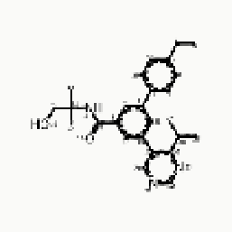 CCc1ccc(-c2cc(C(=O)NC(C)(C)CO)cc(-c3cncnc3C(C)C)c2)cc1